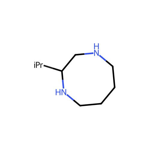 CC(C)C1CNCCCCN1